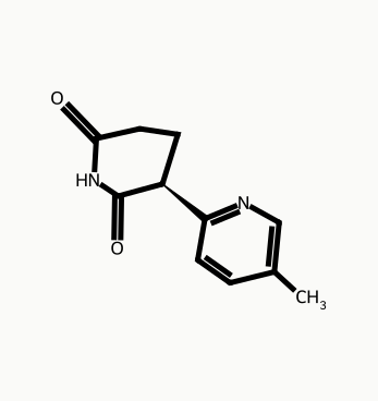 Cc1ccc([C@@H]2CCC(=O)NC2=O)nc1